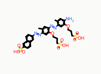 Cc1cc(N=Nc2cc(OCCCS(=O)(=O)O)c(N)cc2C)c(OCCCS(=O)(=O)O)cc1N=Nc1ccc2cc(S(=O)(=O)O)ccc2c1